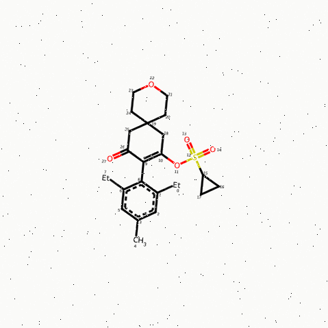 CCc1cc(C)cc(CC)c1C1=C(OS(=O)(=O)C2CC2)CC2(CCOCC2)CC1=O